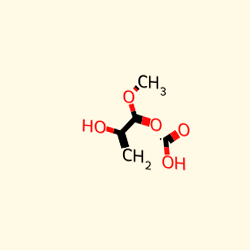 C=C(O)C(=O)OC.O=[C]O